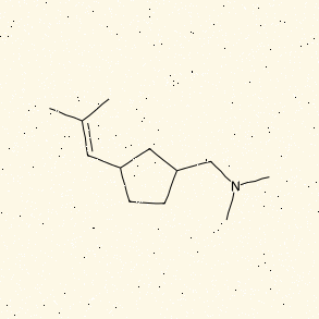 CC(C)=CC1CCC(CN(C)C)C1